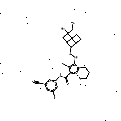 N#Cc1cc(NC(=O)c2c(Cl)c(NSN3C4CCC45C3CC5(O)CO)c3n2CCCC3)cc(F)n1